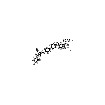 CCn1cc(-c2ccc(F)cc2F)nc1C=Cc1ccc(-c2ccc(Oc3ccc(N)c(C(=O)OC)c3)cc2)cc1